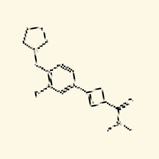 CN(C)C(=O)C1C=C(c2ccc(CN3CCCC3)c(F)c2)C1